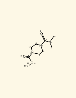 CN(C)C(=O)N1CCN(C(=O)OC(C)(C)C)CC1